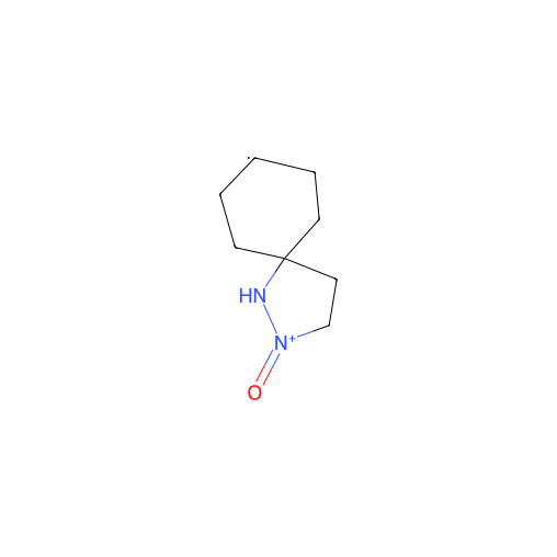 O=[N+]1CCC2(CC[CH]CC2)N1